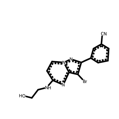 N#Cc1cccc(-c2nn3ccc(NCCO)nc3c2Br)c1